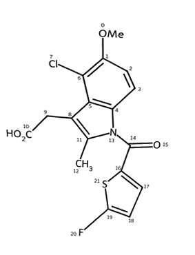 COc1ccc2c(c1Cl)c(CC(=O)O)c(C)n2C(=O)c1ccc(F)s1